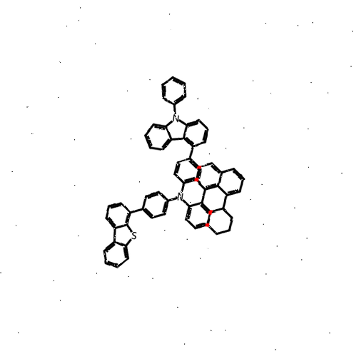 c1ccc(-n2c3ccccc3c3c(-c4ccc(N(c5ccc(-c6cccc7c6sc6ccccc67)cc5)c5ccccc5-c5cccc6cccc(C7CCCCC7)c56)cc4)cccc32)cc1